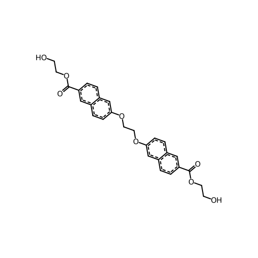 O=C(OCCO)c1ccc2cc(OCCOc3ccc4cc(C(=O)OCCO)ccc4c3)ccc2c1